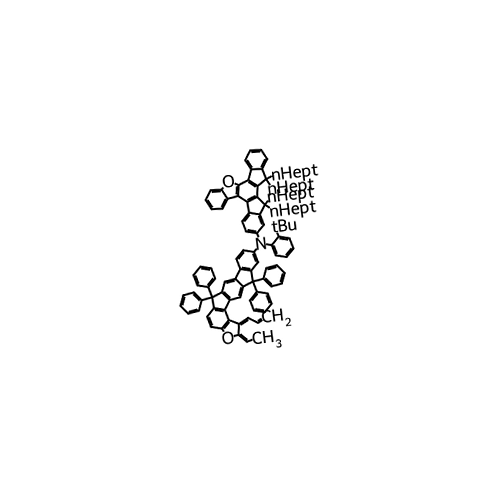 C=C/C=c1\c(=C/C)oc2ccc3c(c12)-c1cc2c(cc1C3(c1ccccc1)c1ccccc1)-c1ccc(N(c3ccc4c(c3)C(CCCCCCC)(CCCCCCC)c3c5c(c6oc7ccccc7c6c3-4)-c3ccccc3C5(CCCCCCC)CCCCCCC)c3ccccc3C(C)(C)C)cc1C2(c1ccccc1)c1ccccc1